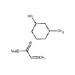 C=CC(=O)OC.CC1CCCC(O)C1